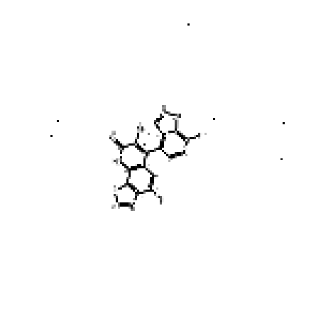 Nc1c(-c2ccc(F)c3[nH]ncc23)c2cc(Br)c3cnsc3c2[nH]c1=O